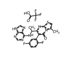 Cc1csc2nc(C(C)Nc3ncnc4[nH]cnc34)c(-c3cc(F)ccc3F)c(=O)n12.O=C(O)C(F)(F)F